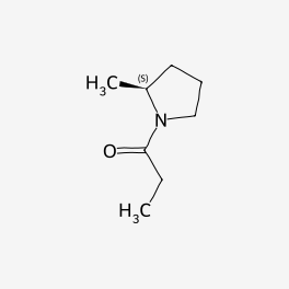 CCC(=O)N1CCC[C@@H]1C